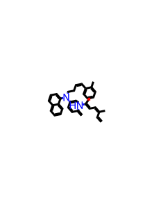 C=C/C(C)=C\C=C(/C)NC(=C)/C=C\C(=C/C)N(CC/C=C\c1ccccc1C)c1cccc2ccccc12